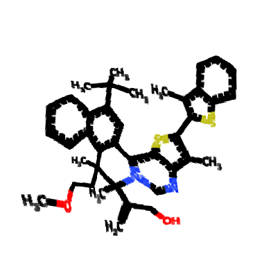 C=C(CO)C1(C)[n+]2cnc3c(C)c(-c4sc5ccccc5c4C)sc3c2-c2cc(C(C)(C)C)c3ccccc3c2C1(C)CCOC